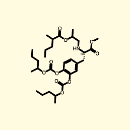 CCCC(C)OC(=O)Oc1ccc(C[C@H](NCC(C)OC(=O)C(C)CCC)C(=O)OC)cc1OC(=O)OC(C)CCC